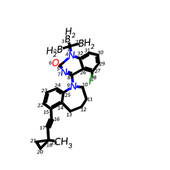 BC(B)(B)n1c(=O)nc(N2CCCCc3c(C#CC4(C)CC4)cccc32)c2c(F)cccc21